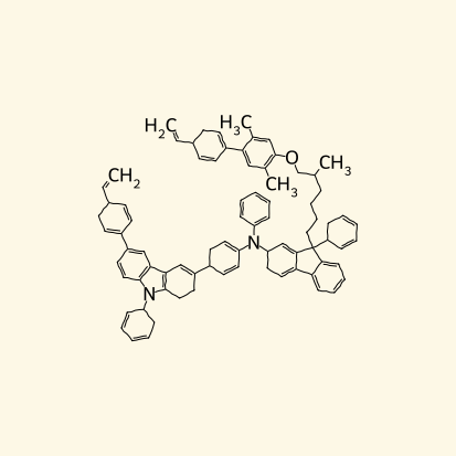 C=CC1C=CC(c2ccc3c(c2)c2c(n3C3C=CC=CC3)CCC(C3C=CC(N(c4ccccc4)C4C=C5C(=CC4)c4ccccc4C5(CCCCC(C)COc4cc(C)c(C5=CCC(C=C)C=C5)cc4C)C4C=CC=CC4)=CC3)=C2)=CC1